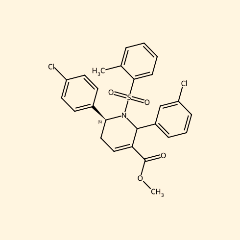 COC(=O)C1=CC[C@@H](c2ccc(Cl)cc2)N(S(=O)(=O)c2ccccc2C)C1c1cccc(Cl)c1